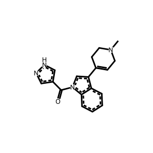 CN1CC=C(c2cn(C(=O)c3cn[nH]c3)c3ccccc23)CC1